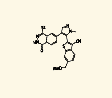 CCc1n[nH]c(=O)c2ccc(-c3cnn(C)c3-c3sc4cc(COC)ccc4c3C#N)cc12